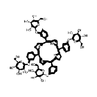 OC[C@H]1O[C@@H](Oc2cccc(-c3c4nc(c(-c5cccc(O[C@@H]6O[C@H](CO)[C@@H](O)[C@H](O)[C@H]6O)c5)c5ccc([nH]5)c(-c5cccc(O[C@@H]6O[C@H](CO)[C@@H](O)[C@H](O)[C@H]6O)c5)c5nc(c(-c6cccc(O[C@@H]7O[C@H](CO)[C@@H](O)[C@H](O)[C@H]7O)c6)c6ccc3[nH]6)CC5)CC4)c2)[C@H](O)[C@@H](O)[C@@H]1O